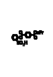 CCCOC(=O)c1ccc(C(=O)Oc2ccccc2S(=O)(=O)O)cc1